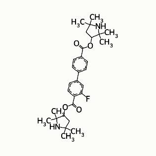 CC1(C)CC(OC(=O)c2ccc(-c3ccc(C(=O)OC4CC(C)(C)NC4(C)C)c(F)c3)cc2)C(C)(C)N1